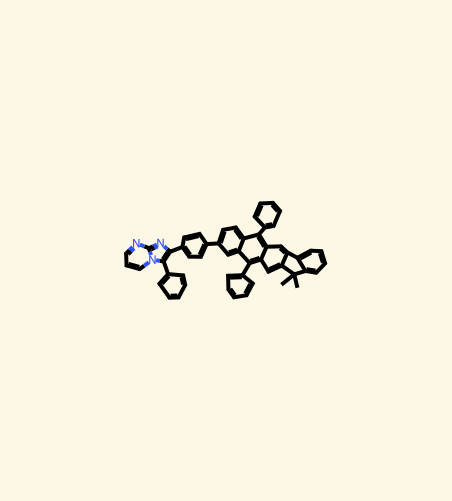 CC1(C)c2ccccc2-c2cc3c(-c4ccccc4)c4ccc(-c5ccc(-c6nc7ncccn7c6-c6ccccc6)cc5)cc4c(-c4ccccc4)c3cc21